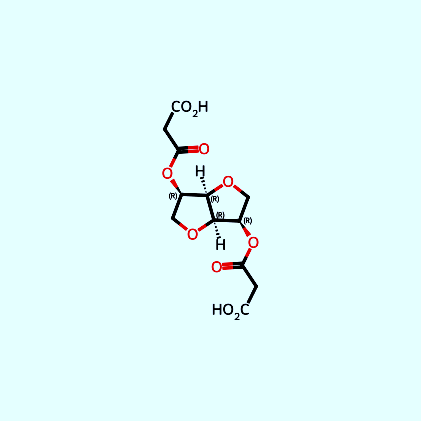 O=C(O)CC(=O)O[C@@H]1CO[C@H]2[C@@H]1OC[C@H]2OC(=O)CC(=O)O